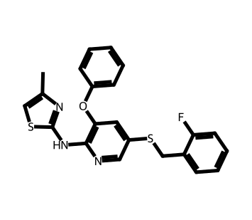 Cc1csc(Nc2ncc(SCc3ccccc3F)cc2Oc2ccccc2)n1